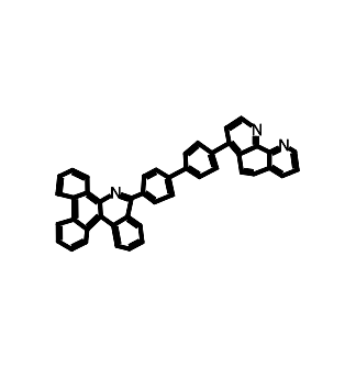 c1cnc2c(c1)ccc1c(-c3ccc(-c4ccc(-c5nc6c7ccccc7c7ccccc7c6c6ccccc56)cc4)cc3)ccnc12